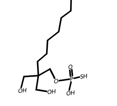 CCCCCCCC(CO)(CO)COP(=O)(O)S